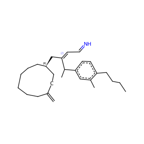 C=C1CCCCCC[C@@H](C/C(=C/C=N)C(C)c2ccc(CCCC)c(C)c2)CC1